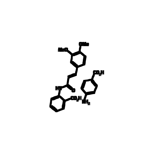 COc1ccc(C=CC(=O)Nc2ccccc2C(=O)O)cc1OC.Nc1ccc(C(=O)O)cc1